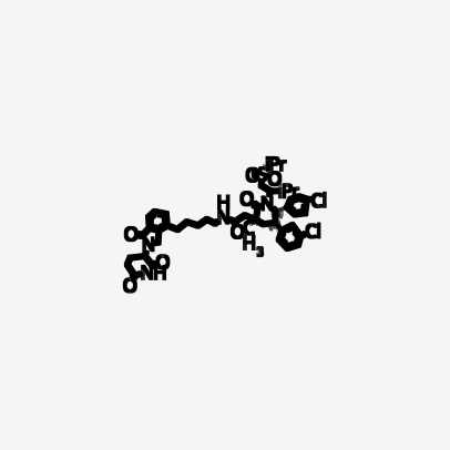 CC(C)C(CS(=O)(=O)C(C)C)N1C(=O)[C@@](C)(CC(=O)NCCCCCc2cccc3c2CN(C2CCC(=O)NC2=O)C3=O)C[C@H](c2cccc(Cl)c2)[C@H]1c1ccc(Cl)cc1